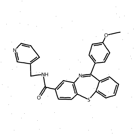 COc1ccc(C2=Nc3cc(C(=O)NCc4cccnc4)ccc3Sc3ccccc32)cc1